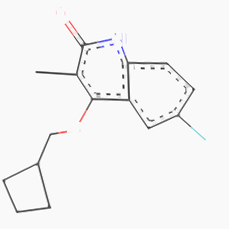 Cc1c(OCC2CCC2)c2cc(F)ccc2[nH]c1=O